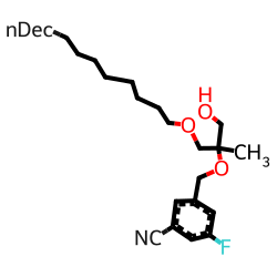 CCCCCCCCCCCCCCCCCCOCC(C)(CO)OCc1cc(F)cc(C#N)c1